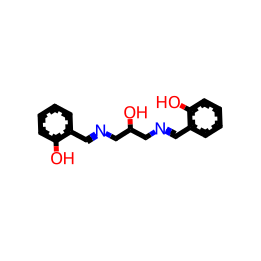 Oc1ccccc1C=NCC(O)CN=Cc1ccccc1O